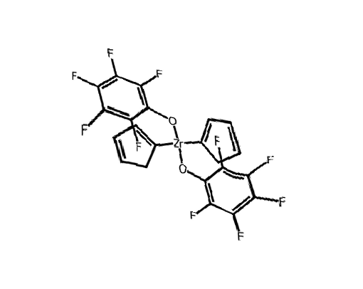 Fc1c(F)c(F)c([O][Zr]([O]c2c(F)c(F)c(F)c(F)c2F)([C]2=CC=CC2)[C]2=CC=CC2)c(F)c1F